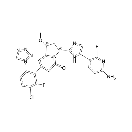 CO[C@@H]1C[C@H](c2ncc(-c3ccc(N)nc3F)[nH]2)n2c1cc(-c1c(-n3cnnn3)ccc(Cl)c1F)cc2=O